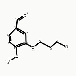 COc1ccc(C=O)cc1OCCCCl